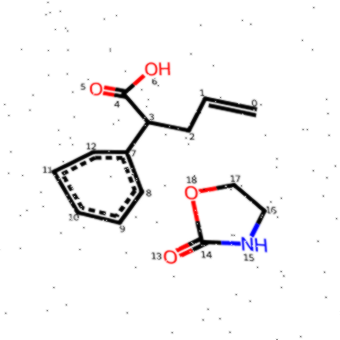 C=CCC(C(=O)O)c1ccccc1.O=C1NCCO1